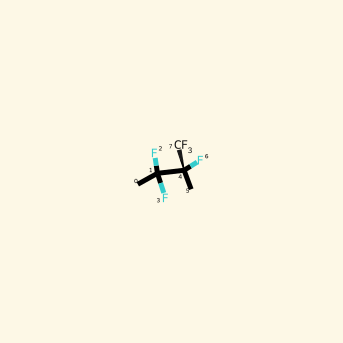 CC(F)(F)[C@@](C)(F)C(F)(F)F